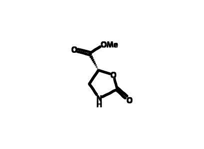 COC(=O)[C@H]1CNC(=O)O1